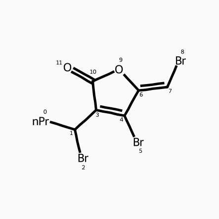 CCCC(Br)C1=C(Br)/C(=C/Br)OC1=O